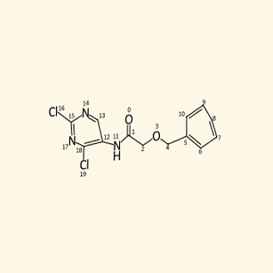 O=C(COCc1ccccc1)Nc1cnc(Cl)nc1Cl